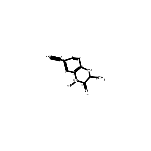 CC1Oc2ccc(C#N)cc2N(F)C1=O